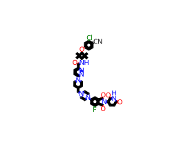 CC1(C)[C@H](NC(=O)c2ccc(N3CCC(CN4CCN(c5cc(F)c6c(c5)C(=O)N(C5CCC(=O)NC5=O)C6=O)CC4)CC3)nn2)C(C)(C)[C@H]1Oc1ccc(C#N)c(Cl)c1